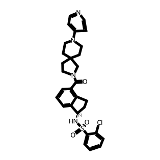 O=C(c1cccc2c1CC[C@@H]2NS(=O)(=O)c1ccccc1Cl)N1CCC2(CCN(c3ccncc3)CC2)C1